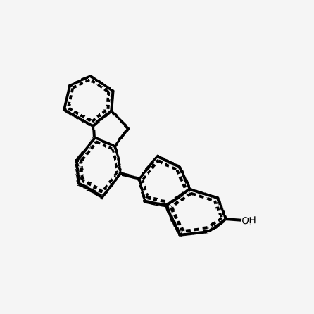 Oc1ccc2cc(-c3cccc4c3Cc3ccccc3-4)ccc2c1